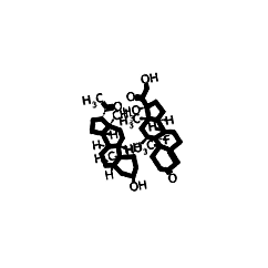 CC(=O)[C@H]1CC[C@H]2[C@@H]3CC[C@@H]4C[C@H](O)CC[C@]4(C)[C@H]3CC[C@]12C.C[C@]12CCC(=O)C=C1CC[C@H]1[C@@H]3CC[C@](O)(C(=O)CO)[C@@]3(C)C[C@H](O)[C@@]12F